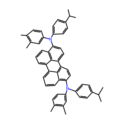 Cc1ccc(N(c2ccc(C(C)C)cc2)c2ccc3c4ccc(N(c5ccc(C(C)C)cc5)c5ccc(C)c(C)c5)c5cccc(c6cccc2c63)c54)cc1C